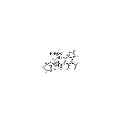 CC(C)n1c(=O)c(C(=O)NC2CC3CCC(C2)N3CCNS(C)(=N)=O)cc2cccn21